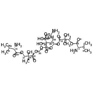 CC(C)[C@H](N)C(=O)OCC(C)(C)C(=O)OCOP(=O)(OCOC(=O)C(C)(C)COC(=O)[C@@H](N)C(C)C)C(O)(CCCN)P(=O)(O)O